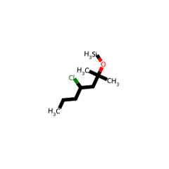 CCCC(Cl)CC(C)(C)O[SiH3]